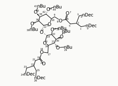 CCCCCCCCCCCC(CCCCCCCCCCC)CC(=O)OCC1O[C@H](O[C@H]2OC(COC(=O)CC(CCCCCCCCCCC)CCCCCCCCCCC)[C@@H](OCCCC)[C@H](OCCCC)C2OCCCC)C(OCCCC)[C@@H](OCCCC)[C@@H]1OCCCC